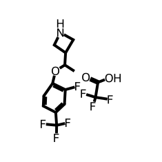 CC(Oc1ccc(C(F)(F)F)cc1F)C1CNC1.O=C(O)C(F)(F)F